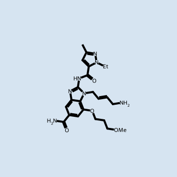 CCn1nc(C)cc1C(=O)Nc1nc2cc(C(N)=O)cc(OCCCOC)c2n1CC=CCN